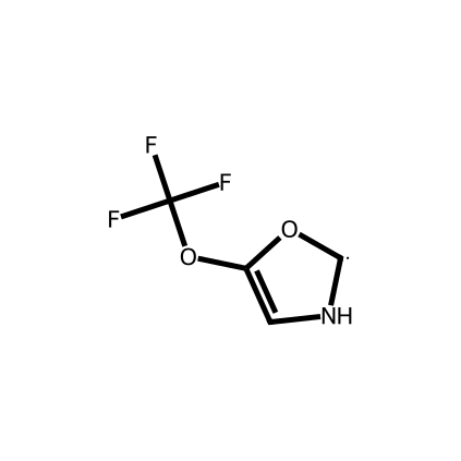 FC(F)(F)OC1=CN[CH]O1